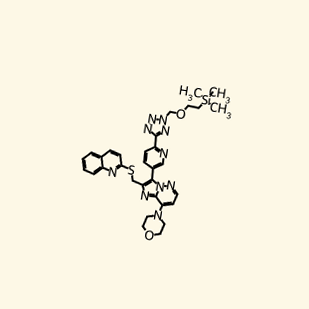 C[Si](C)(C)CCOCn1nnc(-c2ccc(-c3c(CSc4ccc5ccccc5n4)nc4c(N5CCOCC5)ccnn34)cn2)n1